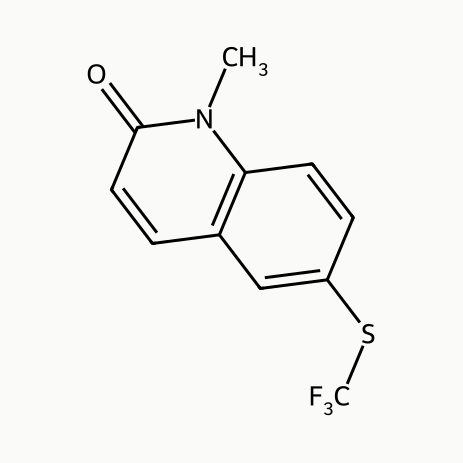 Cn1c(=O)ccc2cc(SC(F)(F)F)ccc21